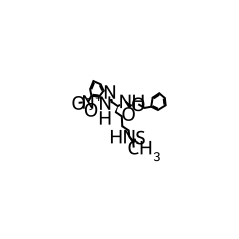 CC(=S)NCCCC[C@H](NC(=O)OCc1ccccc1)c1nc2cccc([N+](=O)[O-])c2[nH]1